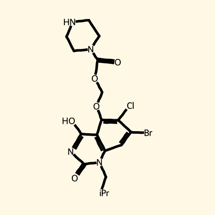 CC(C)Cn1c(=O)nc(O)c2c(OCOC(=O)N3CCNCC3)c(Cl)c(Br)cc21